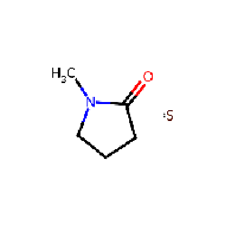 CN1CCCC1=O.[S]